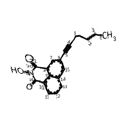 CCCCC#Cc1cc2c3c(cccc3c1)C(=O)N(O)C2=O